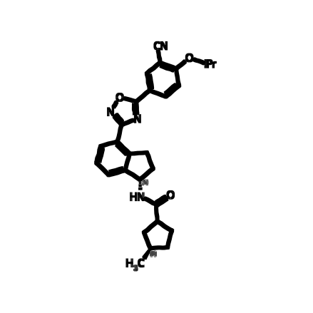 CC(C)Oc1ccc(-c2nc(-c3cccc4c3CC[C@@H]4NC(=O)C3CC[C@@H](C)C3)no2)cc1C#N